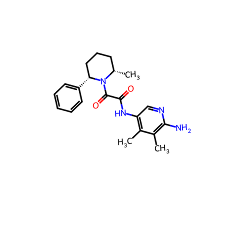 Cc1c(NC(=O)C(=O)N2[C@@H](C)CCC[C@H]2c2ccccc2)cnc(N)c1C